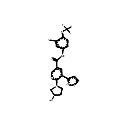 O=C(Nc1ccc(SC(F)(F)F)c(F)c1)c1cnc(N2CC[C@@H](O)C2)c(-c2ccn[nH]2)c1